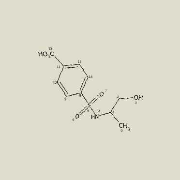 CC(CO)NS(=O)(=O)c1ccc(C(=O)O)cc1